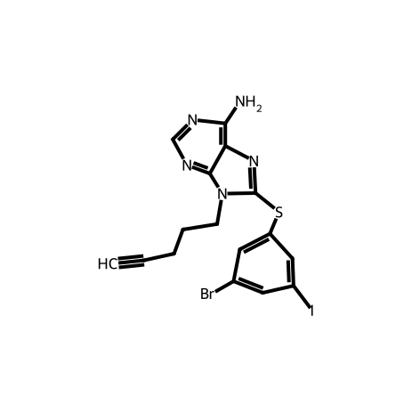 C#CCCCn1c(Sc2cc(Br)cc(I)c2)nc2c(N)ncnc21